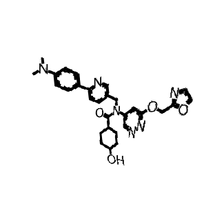 CN(C)c1ccc(-c2ccc(CN(C(=O)C3CCC(O)CC3)c3cnnc(OCc4ncco4)c3)cn2)cc1